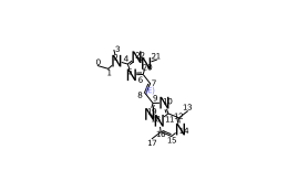 CCN(C)c1nc(/C=C/c2nc3c(C)ncc(C)n3n2)n(C)n1